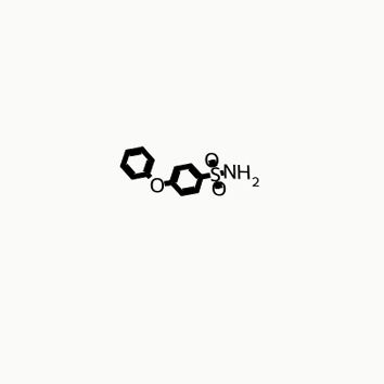 NS(=O)(=O)c1ccc(Oc2ccccc2)cc1